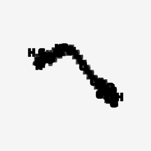 Cn1c2ccncc2c2ccc(-c3ccc(OC4CN(CCCCCOCCCCCOc5ccc6c(c5)C(=O)N(C5CCC(=O)NC5=O)C6=O)C4)nc3)cc21